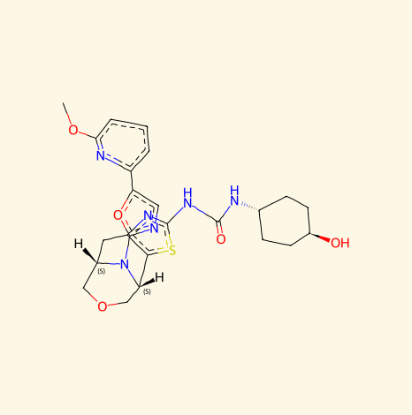 COc1cccc(-c2cnc(N3[C@@H]4COC[C@H]3c3sc(NC(=O)N[C@H]5CC[C@H](O)CC5)nc3C4)o2)n1